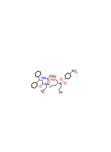 COC(=O)N[C@H](C(=O)N[C@H](CCC[C@@H](CO)N(CCC(C)C)S(=O)(=O)c1ccc([N+](=O)[O-])cc1)C1CC1)C(c1ccccc1)c1ccccc1